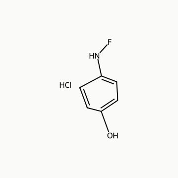 Cl.Oc1ccc(NF)cc1